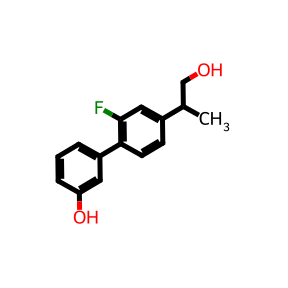 CC(CO)c1ccc(-c2cccc(O)c2)c(F)c1